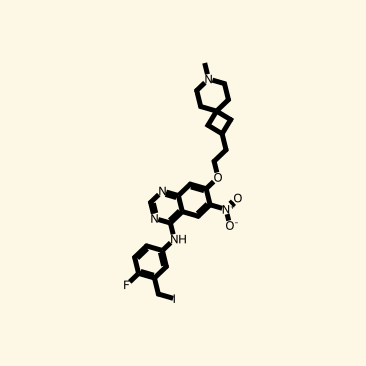 CN1CCC2(CC1)CC(CCOc1cc3ncnc(Nc4ccc(F)c(CI)c4)c3cc1[N+](=O)[O-])C2